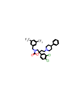 O=C1OC(CCN2CCC(c3ccccc3)CC2)(c2ccc(Cl)c(Cl)c2)CN1Cc1cc(C(F)(F)F)cc(C(F)(F)F)c1